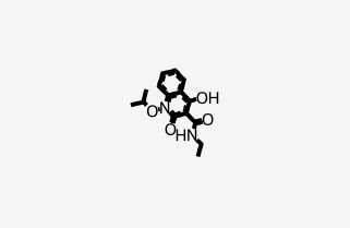 CCNC(=O)c1c(O)c2ccccc2n(OC(C)C)c1=O